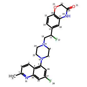 Cc1ccc2c(N3CCN(CC(F)c4ccc5c(c4)NC(=O)CO5)CC3)cc(F)cc2n1